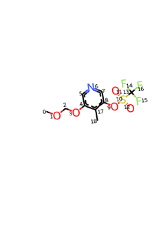 COCOc1cncc(OS(=O)(=O)C(F)(F)F)c1C